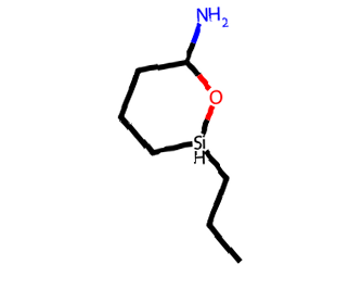 CCC[SiH]1CCCC(N)O1